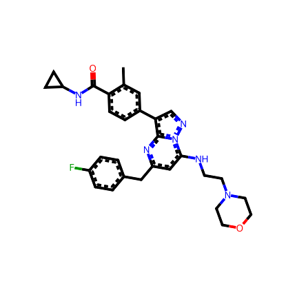 Cc1cc(-c2cnn3c(NCCN4CCOCC4)cc(Cc4ccc(F)cc4)nc23)ccc1C(=O)NC1CC1